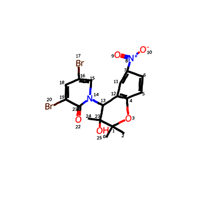 CC1(C)Oc2ccc([N+](=O)[O-])cc2C(n2cc(Br)cc(Br)c2=O)C1(C)O